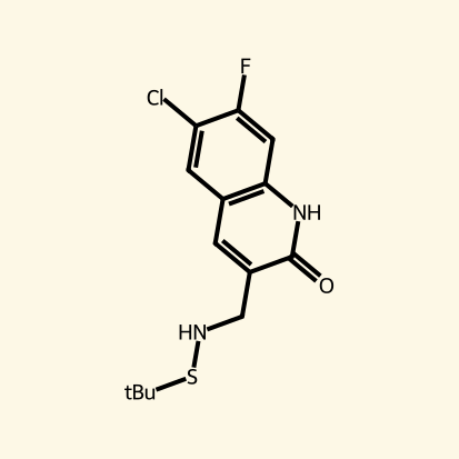 CC(C)(C)SNCc1cc2cc(Cl)c(F)cc2[nH]c1=O